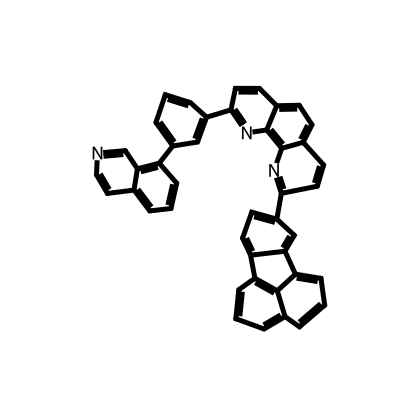 c1cc(-c2ccc3ccc4ccc(-c5ccc6c(c5)-c5cccc7cccc-6c57)nc4c3n2)cc(-c2cccc3ccncc23)c1